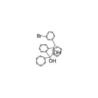 OC(Cc1cccc(Br)c1)c1ccccc1C(O)(c1ccccc1)c1ccccc1